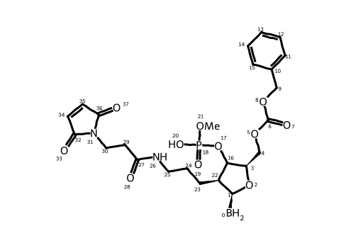 B[C@@H]1O[C@H](COC(=O)OCc2ccccc2)C(OP(=O)(O)OC)[C@@H]1CCCNC(=O)CCN1C(=O)C=CC1=O